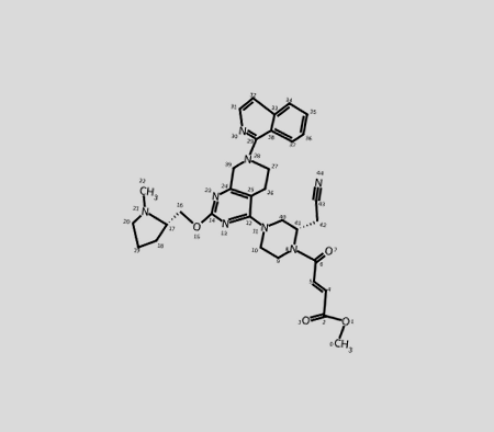 COC(=O)/C=C/C(=O)N1CCN(c2nc(OC[C@@H]3CCCN3C)nc3c2CCN(c2nccc4ccccc24)C3)C[C@@H]1CC#N